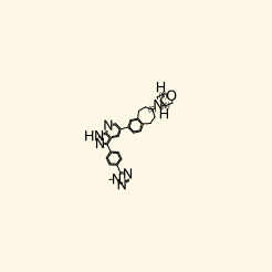 Cn1ncnc1-c1ccc(-c2n[nH]c3ncc(-c4ccc5c(c4)CC[C@@H](N4C[C@@H]6C[C@H]4CO6)CC5)cc23)cc1